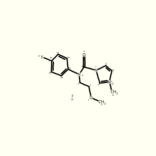 COCCN(C(=O)n1cc[n+](C)c1)c1ccc(F)cc1.[I-]